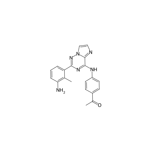 CC(=O)c1ccc(Nc2nc(-c3cccc(N)c3C)nn3ccnc23)cc1